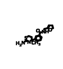 CC1(c2cccc(C(=O)NCC3=CCCO3)c2)CCSC(N)=N1